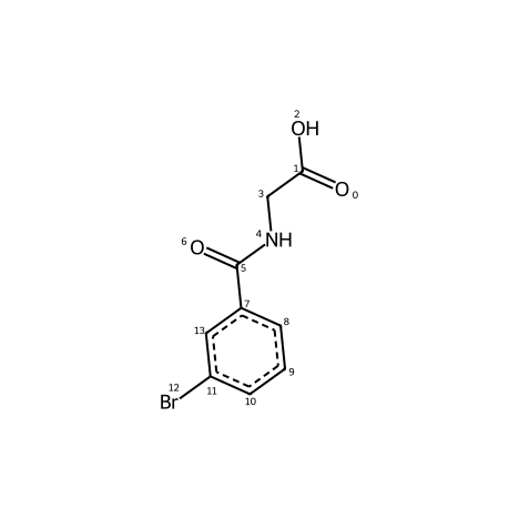 O=C(O)CNC(=O)c1cccc(Br)c1